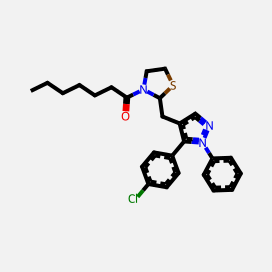 CCCCCCC(=O)N1CCSC1Cc1cnn(-c2ccccc2)c1-c1ccc(Cl)cc1